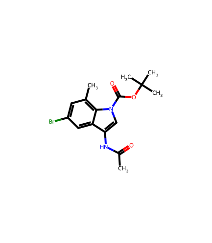 CC(=O)Nc1cn(C(=O)OC(C)(C)C)c2c(C)cc(Br)cc12